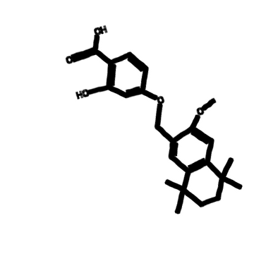 COc1cc2c(cc1COc1ccc(C(=O)O)c(O)c1)C(C)(C)CCC2(C)C